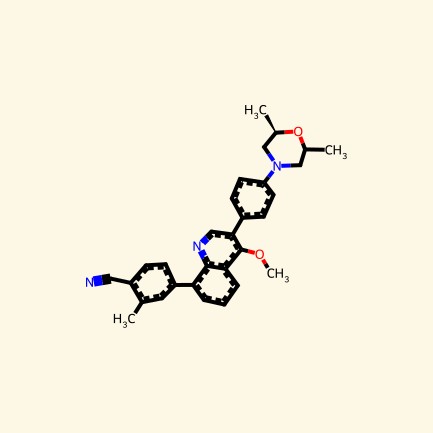 COc1c(-c2ccc(N3CC(C)O[C@H](C)C3)cc2)cnc2c(-c3ccc(C#N)c(C)c3)cccc12